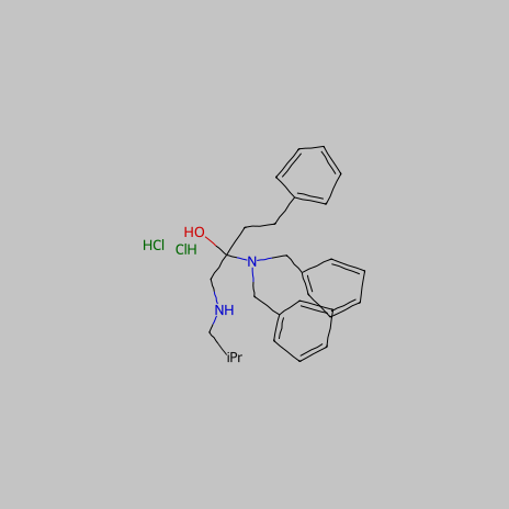 CC(C)CNCC(O)(CCc1ccccc1)N(Cc1ccccc1)Cc1ccccc1.Cl.Cl